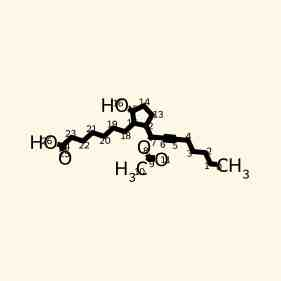 CCCCCC#CC(OC(C)=O)C1CCC(O)C1CCCCCCC(=O)O